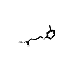 COC(=O)CCCOc1[c]c(C)ccc1